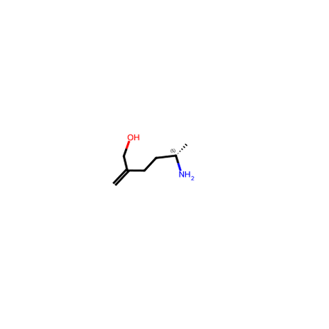 C=C(CO)CC[C@H](C)N